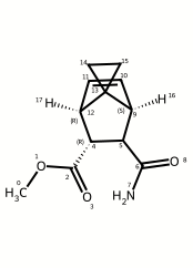 COC(=O)[C@H]1C(C(N)=O)[C@@H]2C=C[C@H]1C21CC1